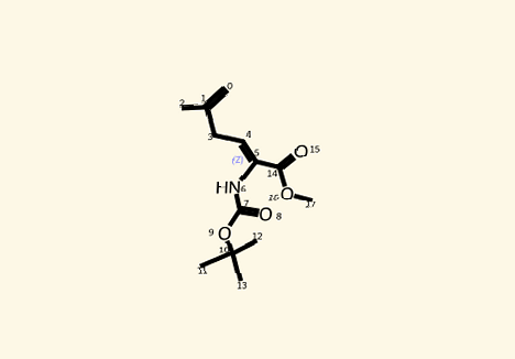 C=C(C)C/C=C(\NC(=O)OC(C)(C)C)C(=O)OC